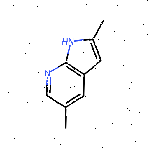 Cc1cnc2[nH]c(C)cc2c1